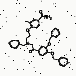 Cc1cc(C(N)=O)ccc1OCCN(CC(=O)c1ccc(OCc2ccccc2)c(OCc2ccccc2)c1)Cc1ccccc1